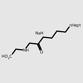 CCCCCCCCCCCC(=O)CNCC(=O)O.[NaH]